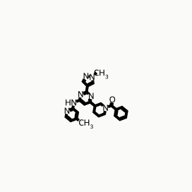 Cc1ccnc(Nc2cc(C3CCCN(C(=O)c4ccccc4)C3)nc(-c3cnn(C)c3)n2)c1